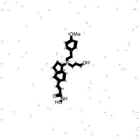 COc1ccc(CCN(CCCO)C2CCc3cc(/C=C/C(=O)NO)ccc32)cc1